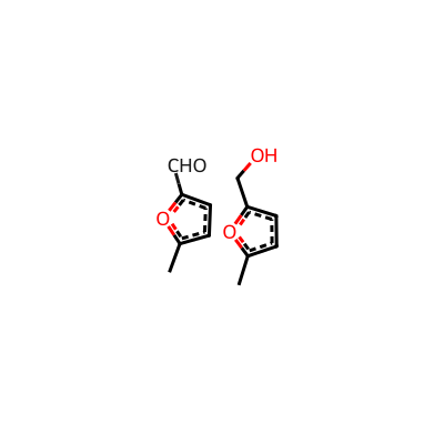 Cc1ccc(C=O)o1.Cc1ccc(CO)o1